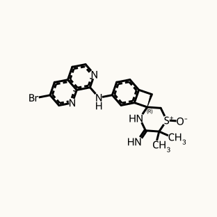 CC1(C)C(=N)N[C@@]2(Cc3ccc(Nc4nccc5cc(Br)cnc45)cc32)C[S+]1[O-]